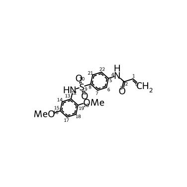 C=CC(=O)Nc1ccc(S(=O)(=O)Nc2cc(OC)ccc2OC)cc1